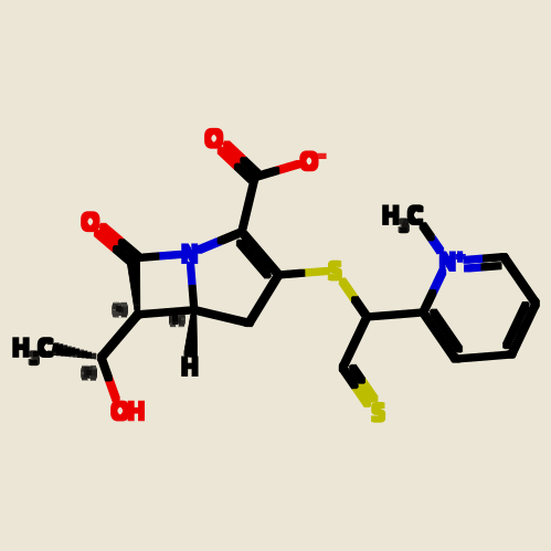 C[C@@H](O)[C@H]1C(=O)N2C(C(=O)[O-])=C(SC(C=S)c3cccc[n+]3C)C[C@H]12